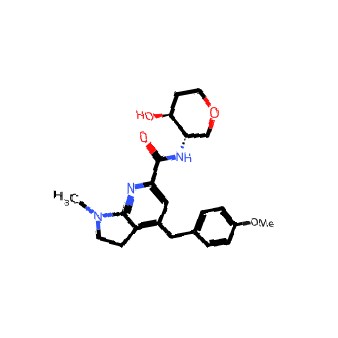 COc1ccc(Cc2cc(C(=O)N[C@H]3COCC[C@@H]3O)nc3c2CCN3C)cc1